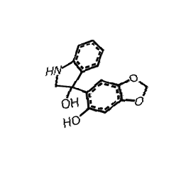 Oc1cc2c(cc1C1(O)CNc3ccccc31)OCO2